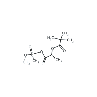 COP(C)(=O)OC(=O)[C@H](C)OC(=O)C(C)(C)C